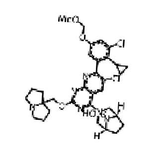 COCOc1cc(Cl)c(C2CC2)c(-c2nc3nc(OCC45CCCN4CCC5)nc(N4C[C@H]5CC[C@@H](C4)N5C(=O)O)c3cc2Cl)c1